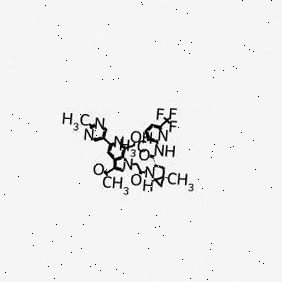 CC(=O)c1cn(CC(=O)N2[C@H](C(=O)Nc3nc(C(F)(F)F)ccc3C)C[C@@]3(C)C[C@@H]23)c2c(CO)nc(-c3cnc(C)nc3)cc12